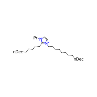 CCCCCCCCCCCCCCCCCC[n+]1ccn(C(C)C)c1CCCCCCCCCCCCCCC